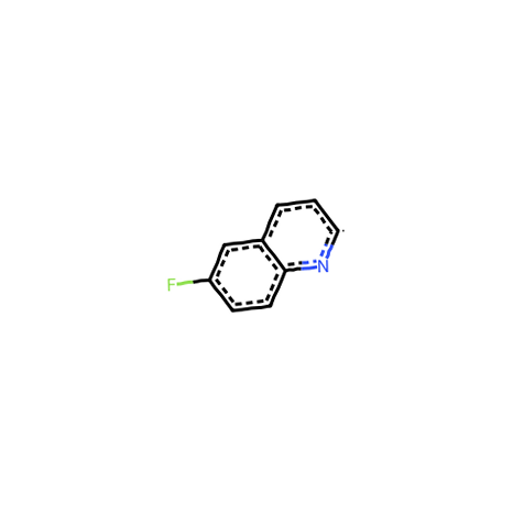 Fc1ccc2n[c]ccc2c1